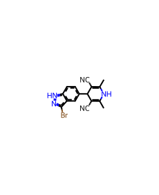 CC1=C(C#N)C(c2ccc3[nH]nc(Br)c3c2)C(C#N)=C(C)N1